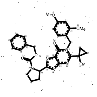 COc1ccc(Cn2c(C3(C#N)CC3)nc3sc(C4CCCN4C(=O)OCc4ccccc4)nc3c2=O)c(OC)c1